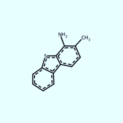 Cc1ccc2c(sc3ccccc32)c1N